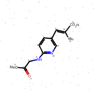 COC(=O)CNc1ccc(C=C(C(=O)O)C(C)(C)C)cn1